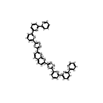 c1ccc(-c2cccc(-c3cccc(-c4nnc(-c5ccc6ccc(-c7nnc(-c8cccc(-c9cccc(-c%10ccccn%10)n9)n8)s7)nc6n5)s4)n3)n2)nc1